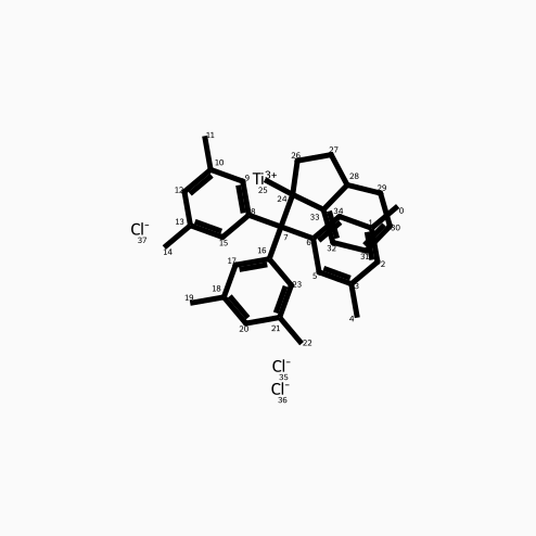 Cc1cc(C)cc(C(c2cc(C)cc(C)c2)(c2cc(C)cc(C)c2)[C]2([Ti+3])CCC3CC=CC=C32)c1.[Cl-].[Cl-].[Cl-]